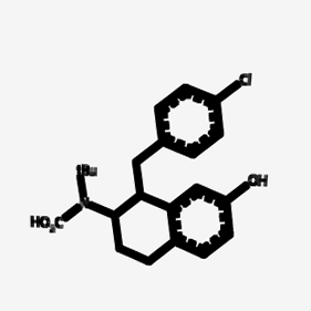 CC(C)(C)N(C(=O)O)C1CCc2ccc(O)cc2C1Cc1ccc(Cl)cc1